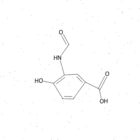 O=CNc1cc(C(=O)O)ccc1O